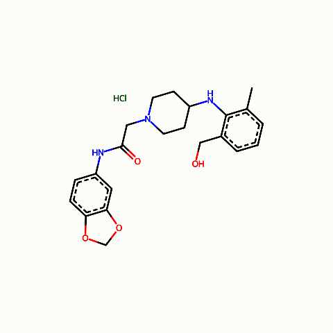 Cc1cccc(CO)c1NC1CCN(CC(=O)Nc2ccc3c(c2)OCO3)CC1.Cl